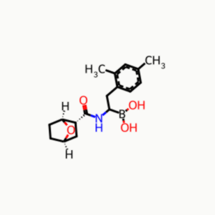 Cc1ccc(CC(NC(=O)[C@@H]2C[C@H]3CC[C@@H]2O3)B(O)O)c(C)c1